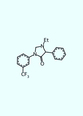 CCN1CN(c2cccc(C(F)(F)F)c2)C(=O)C1c1ccccc1